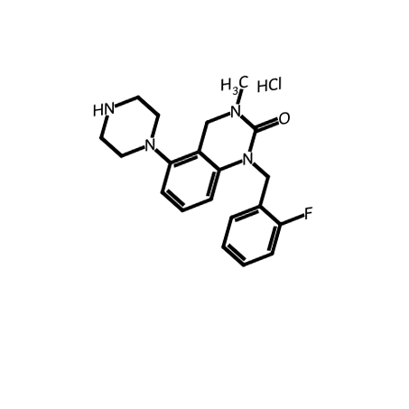 CN1Cc2c(N3CCNCC3)cccc2N(Cc2ccccc2F)C1=O.Cl